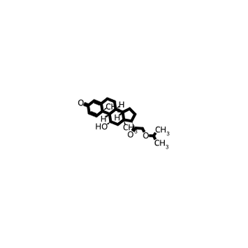 CC(C)OCC(=O)[C@H]1CC[C@H]2[C@@H]3CCC4=CC(=O)C=C[C@]4(C)[C@H]3[C@@H](O)C[C@]12C